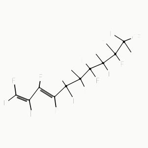 FC(F)=C(F)C(F)=C(F)C(F)(F)C(F)(F)C(F)(F)C(F)(F)C(F)(F)C(F)(F)C(F)(F)F